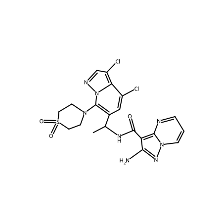 CC(NC(=O)c1c(N)nn2cccnc12)c1cc(Cl)c2c(Cl)cnn2c1N1CCS(=O)(=O)CC1